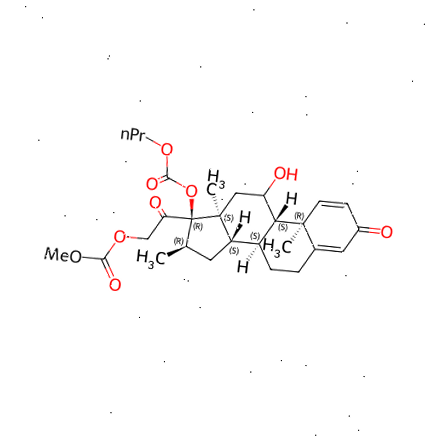 CCCOC(=O)O[C@]1(C(=O)COC(=O)OC)[C@H](C)C[C@H]2[C@@H]3CCC4=CC(=O)C=C[C@]4(C)[C@H]3C(O)C[C@@]21C